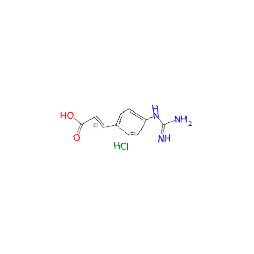 Cl.N=C(N)Nc1ccc(/C=C/C(=O)O)cc1